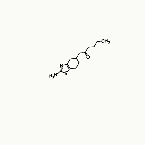 C=CCCC(=O)CC1CCc2sc(N)nc2C1